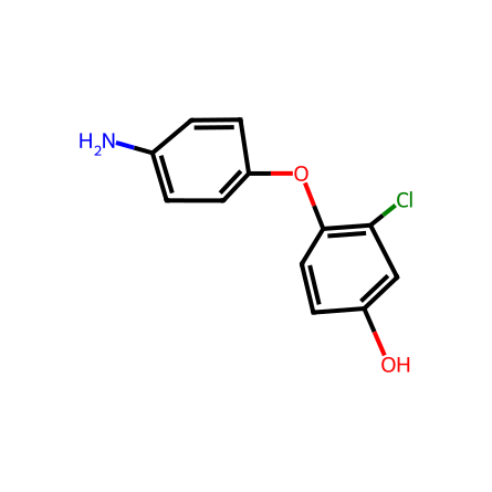 Nc1ccc(Oc2ccc(O)cc2Cl)cc1